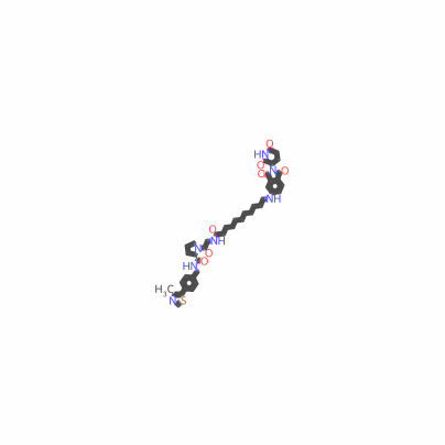 Cc1ncsc1-c1ccc(CNC(=O)[C@@H]2CCCN2C(=O)CNC(=O)CCCCCCCCCCNc2ccc3c(c2)C(=O)N(C2CCC(=O)NC2=O)C3=O)cc1